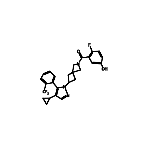 O=C(c1cc(O)ccc1F)N1CC2(CC(n3ncc(C4CC4)c3-c3ccccc3C(F)(F)F)C2)C1